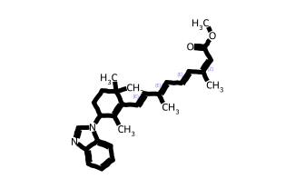 COC(=O)\C=C(C)/C=C/C=C(C)/C=C/C1=C(C)C(n2cnc3ccccc32)CCC1(C)C